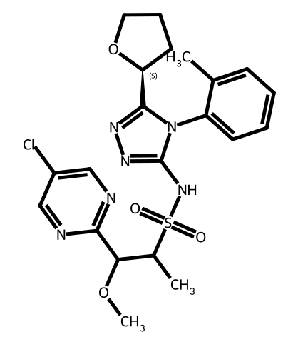 COC(c1ncc(Cl)cn1)C(C)S(=O)(=O)Nc1nnc([C@@H]2CCCO2)n1-c1ccccc1C